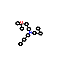 c1ccc(-c2ccc(-c3ccc(N(c4ccc(-c5cccc(-c6oc7ccccc7c6-c6ccccc6)c5)cc4)c4ccc(-c5ccccc5-c5ccccc5)cc4)cc3)cc2)cc1